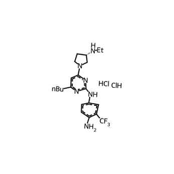 CCCCc1cc(N2CC[C@H](NCC)C2)nc(Nc2ccc(N)c(C(F)(F)F)c2)n1.Cl.Cl